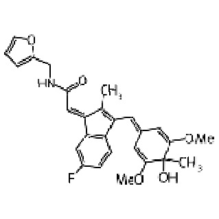 COC1=CC(=CC2=C(C)/C(=C\C(=O)NCc3ccco3)c3cc(F)ccc32)C=C(OC)C1(C)O